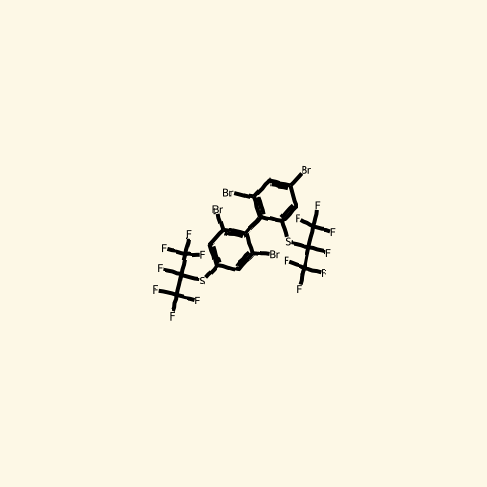 FC(F)(F)C(F)(Sc1cc(Br)c(-c2c(Br)[c]c(Br)cc2SC(F)(C(F)(F)F)C(F)(F)F)c(Br)c1)C(F)(F)F